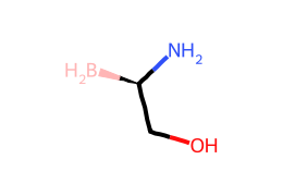 B[C@@H](N)CO